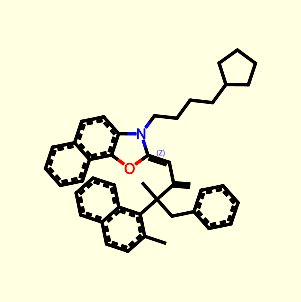 C=C(/C=C1\Oc2c(ccc3ccccc23)N1CCCCC1CCCC1)C(C)(Cc1ccccc1)c1c(C)ccc2ccccc12